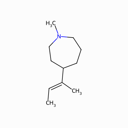 C/C=C(\C)C1CCCN(C)CC1